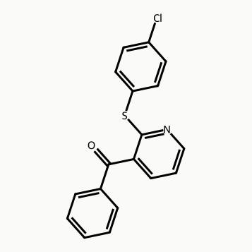 O=C(c1ccccc1)c1cccnc1Sc1ccc(Cl)cc1